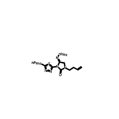 C=CCCN1CC(=NCCCCCC)N(c2nnc(CCCCC)s2)C1=O